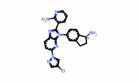 Nc1ncccc1-c1nc2ccc(-n3cc(Cl)cn3)nc2n1-c1ccc2c(c1)CC[C@@H]2N